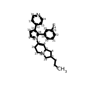 CCCC1CC2C=C(n3ccc(-c4ccncc4)c3-c3cccc(F)c3)CCN2C1